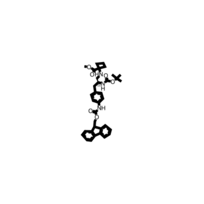 COC(=O)C1(NC[C@H](Cc2ccc(NC(=O)OCC3c4ccccc4-c4ccccc43)cc2)NC(=O)OC(C)(C)C)CCC1